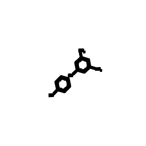 CCC(C)c1cc([N+](=O)[O-])cc([N+](=O)[O-])c1.Oc1ccccc1